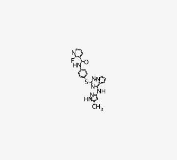 Cc1cc(Nc2nc(Sc3ccc(NC(=O)c4cccnc4F)cc3)nn3cccc23)n[nH]1